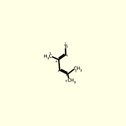 CC(C)=CC(C)=[CH][Ti]